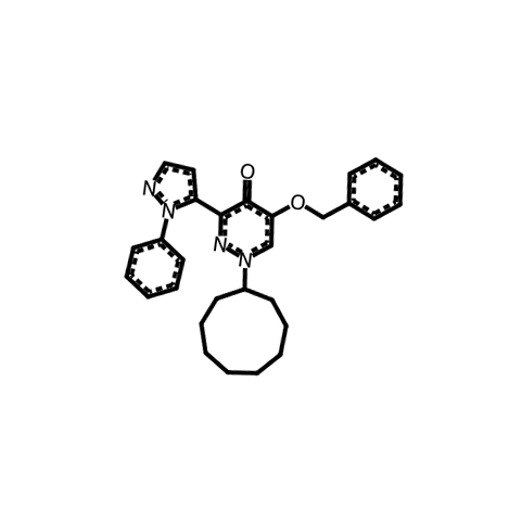 O=c1c(OCc2ccccc2)cn(C2CCCCCCCC2)nc1-c1ccnn1-c1ccccc1